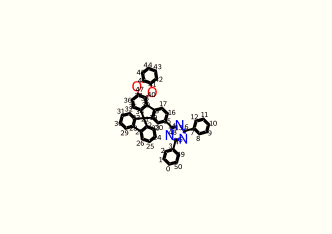 c1ccc(-c2nc(-c3ccccc3)nc(-c3ccc4c(c3)C3(c5ccccc5-c5ccccc53)c3ccc5c(c3-4)Oc3ccccc3O5)n2)cc1